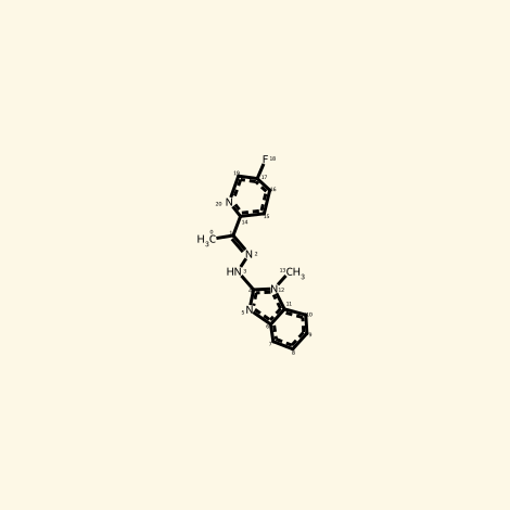 C/C(=N\Nc1nc2ccccc2n1C)c1ccc(F)cn1